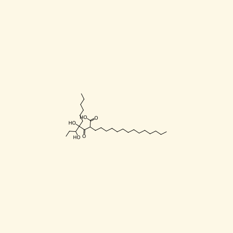 CCCCCCCCCCCCCCC(C(=O)O)C(=O)C(O)(CCCCCC)C(O)CC